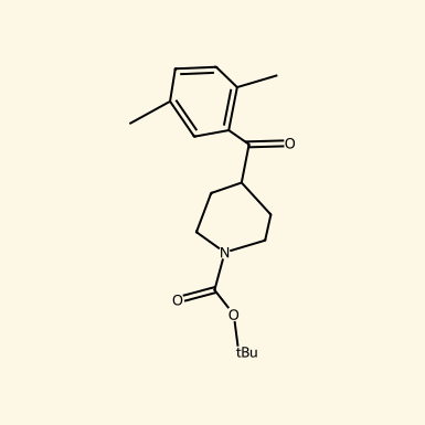 Cc1ccc(C)c(C(=O)C2CCN(C(=O)OC(C)(C)C)CC2)c1